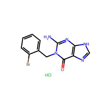 Cl.Nc1nc2[nH]cnc2c(=O)n1Cc1ccccc1Br